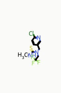 CNC(=S)N(Cc1ccc(Cl)nc1)CC(F)(F)F